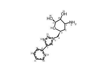 NC1C[C@@H](Cn2cc(-c3ccccn3)nn2)O[C@@H](O)C1O